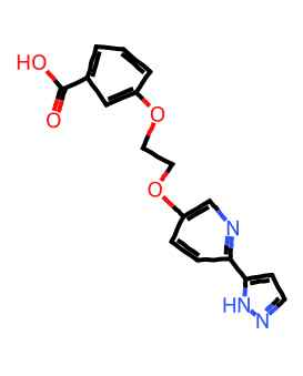 O=C(O)c1cccc(OCCOc2ccc(-c3ccn[nH]3)nc2)c1